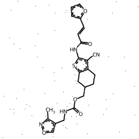 Cc1nocc1CNC(=O)OCC1CCc2c(sc(NC(=O)C=Cc3ccco3)c2C#N)C1